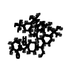 CCC(c1ccc(C(F)(F)F)cc1CN(Cc1cc(C(C)(F)F)cc(C(F)(F)F)c1)c1nnn(C)n1)N1CCC(O)(Cn2cccc(C)c2=O)CC1